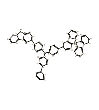 c1ccc(-c2ccc(N(c3ccc(-c4ccc([Si](c5ccccc5)(c5ccccc5)c5ccccc5)cc4)cc3)c3ccc(-c4ccc5sc6ccccc6c5c4)cc3)cc2)cc1